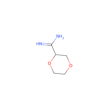 N=C(N)C1COCCO1